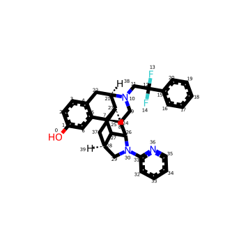 Oc1ccc2c(c1)[C@]13CCN(CC(F)(F)c4ccccc4)[C@H](C2)[C@]12CCC1C3[C@@H](CN1c1ccccn1)C2